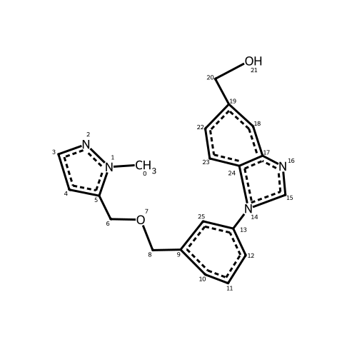 Cn1nccc1COCc1cccc(-n2cnc3cc(CO)ccc32)c1